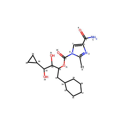 CCc1nc(C(N)=O)cn1C(=O)OC(CC1CCCCC1)C(O)C(O)C1CC1